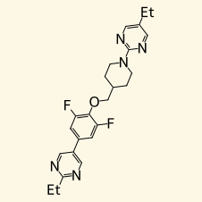 CCc1cnc(N2CCC(COc3c(F)cc(-c4cnc(CC)nc4)cc3F)CC2)nc1